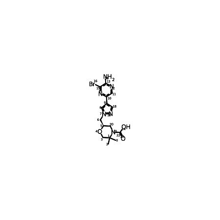 CC1(C)CO[C@@H](Cn2cc(-c3cnc(N)c(Br)n3)cn2)CN1C(=O)O